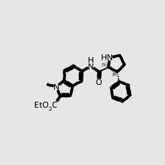 CCOC(=O)c1cc2cc(NC(=O)[C@H]3NCC[C@@H]3c3ccccc3)ccc2n1C